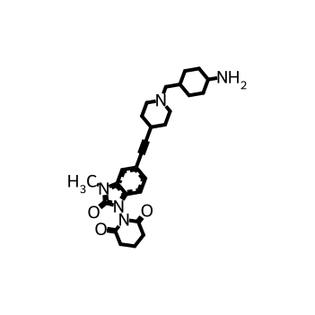 Cn1c(=O)n(N2C(=O)CCCC2=O)c2ccc(C#CC3CCN(CC4CCC(N)CC4)CC3)cc21